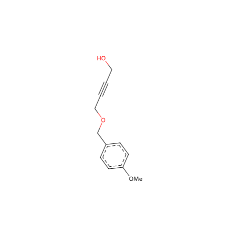 COc1ccc(COCC#CCO)cc1